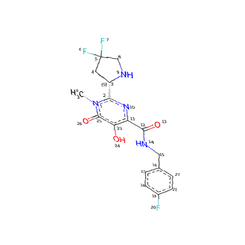 Cn1c([C@@H]2CC(F)(F)CN2)nc(C(=O)NCc2ccc(F)cc2)c(O)c1=O